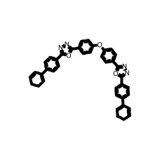 C1=CC(c2ccc(-c3nnc(-c4ccc(Oc5ccc(-c6nnc(-c7ccc(C8=CCCC=C8)cc7)o6)cc5)cc4)o3)cc2)=CCC1